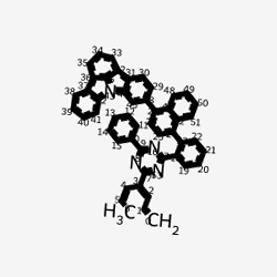 C=C/C=C(\C=C/C)c1nc(-c2ccccc2)nc(-c2ccccc2-c2ccc(-c3ccc4c5cccc6c7ccccc7n(c4c3)c65)c3ccccc23)n1